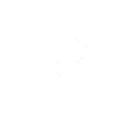 Cn1nc2c(c1CC(=O)NC1=NC(c3ccc(F)c(F)c3)CS1)c(=O)n(C)c(=O)n2C